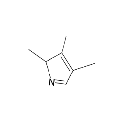 CC1=C(C)C(C)N=C1